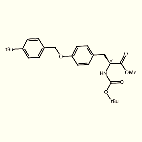 COC(=O)[C@H](Cc1ccc(OCc2ccc(C(C)(C)C)cc2)cc1)NC(=O)OC(C)(C)C